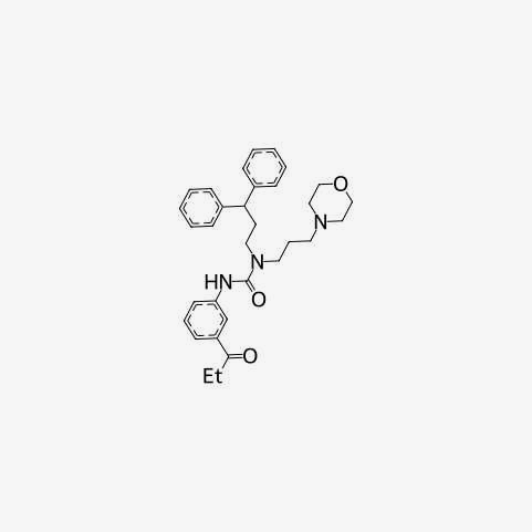 CCC(=O)c1cccc(NC(=O)N(CCCN2CCOCC2)CCC(c2ccccc2)c2ccccc2)c1